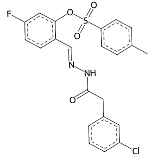 Cc1ccc(S(=O)(=O)Oc2cc(F)ccc2C=NNC(=O)Cc2cccc(Cl)c2)cc1